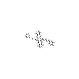 c1ccc(CCCCS[C@H]2c3cc4ccccc4cc3[C@H](SCCCCc3ccccc3)c3cc4ccccc4cc32)cc1